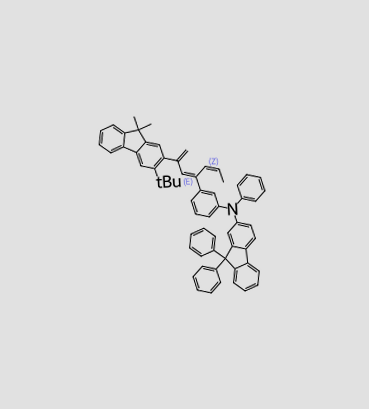 C=C(/C=C(\C=C/C)c1cccc(N(c2ccccc2)c2ccc3c(c2)C(c2ccccc2)(c2ccccc2)c2ccccc2-3)c1)c1cc2c(cc1C(C)(C)C)-c1ccccc1C2(C)C